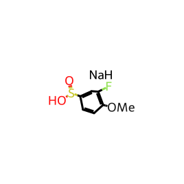 COc1ccc(S(=O)O)cc1F.[NaH]